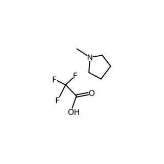 CN1CCCC1.O=C(O)C(F)(F)F